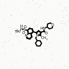 Cc1c(C(=O)NC2CCOCC2)cc(-c2ccc(S(=O)(=O)NC(C)(C)C)c3ncccc23)n1CC1CCCCC1